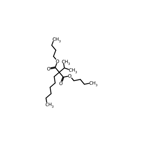 CCCCCCC(C(=O)OCCCC)(C(=O)OCCCC)C(C)C